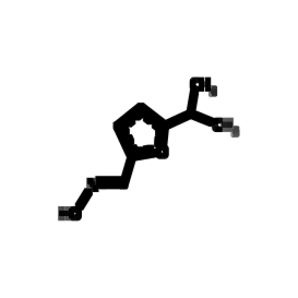 CC(C)c1ccc(/C=N/O)o1